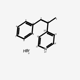 Br.CC(Cc1ccccc1)c1ccncc1